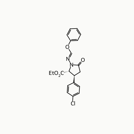 CCOC(=O)[C@H]1[C@H](c2ccc(Cl)cc2)CC(=O)N1N=COc1ccccc1